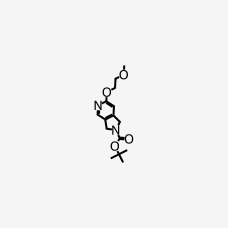 COCCOc1cc2c(cn1)CN(C(=O)OC(C)(C)C)C2